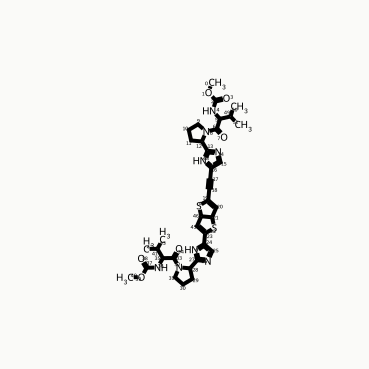 COC(=O)NC(C(=O)N1CCCC1c1ncc(C#CC2=CC3SC(c4cnc(C5CCCN5C(=O)C(NC(=O)OC)C(C)C)[nH]4)=CC3S2)[nH]1)C(C)C